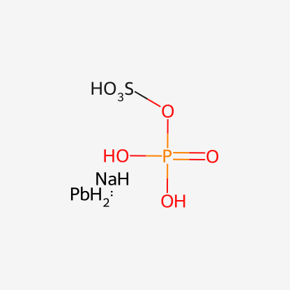 O=P(O)(O)OS(=O)(=O)O.[NaH].[PbH2]